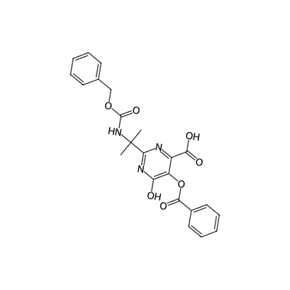 CC(C)(NC(=O)OCc1ccccc1)c1nc(O)c(OC(=O)c2ccccc2)c(C(=O)O)n1